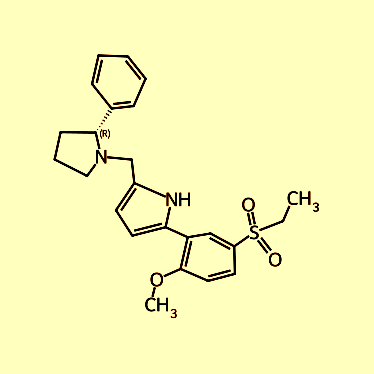 CCS(=O)(=O)c1ccc(OC)c(-c2ccc(CN3CCC[C@@H]3c3ccccc3)[nH]2)c1